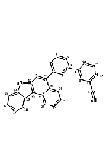 N#Cc1cc(-c2cccc(-c3cc4sc5ccccc5c4c4ccccc34)c2)ccn1